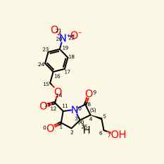 O=C1C[C@@H]2[C@H](CCO)C(=O)N2C1C(=O)OCc1ccc([N+](=O)[O-])cc1